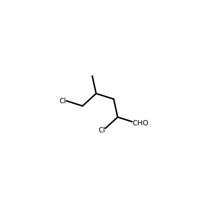 CC(CCl)CC(Cl)C=O